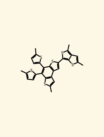 Cc1ccc(-c2c(-c3ccc(C)s3)c3sc(-c4sc(C)c5cc(C)sc45)cc3c3cc(C)sc23)s1